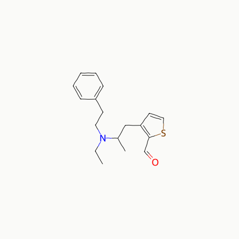 CCN(CCc1ccccc1)C(C)Cc1ccsc1C=O